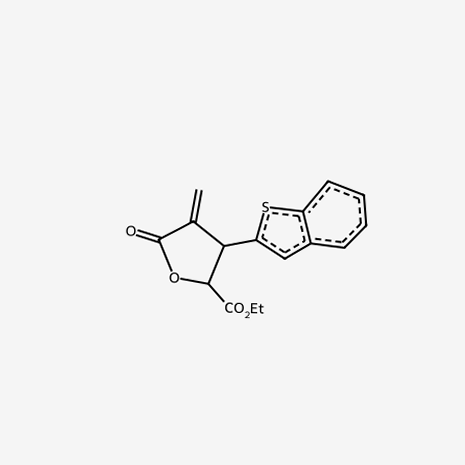 C=C1C(=O)OC(C(=O)OCC)C1c1cc2ccccc2s1